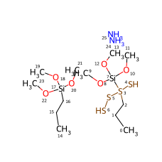 CCCS(S)(SS)[Si](OC)(OC)OC.CCC[Si](OC)(OC)OC.N.N